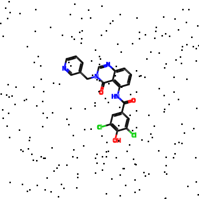 O=C(Nc1cccc2ncn(Cc3cccnc3)c(=O)c12)c1cc(Cl)c(O)c(Cl)c1